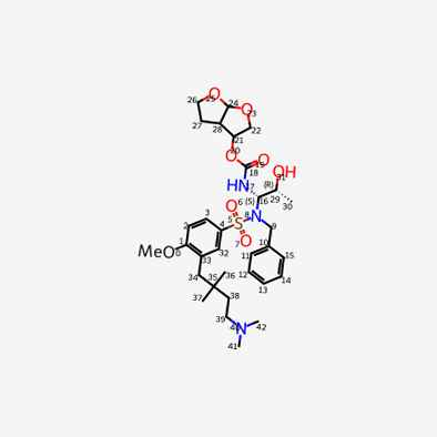 COc1ccc(S(=O)(=O)N(Cc2ccccc2)[C@H](NC(=O)OC2COC3OCCC23)[C@@H](C)O)cc1CC(C)(C)CCN(C)C